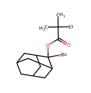 CCCCC1(OC(=O)C(C)(C)CC)C2CC3CC(C2)CC1C3